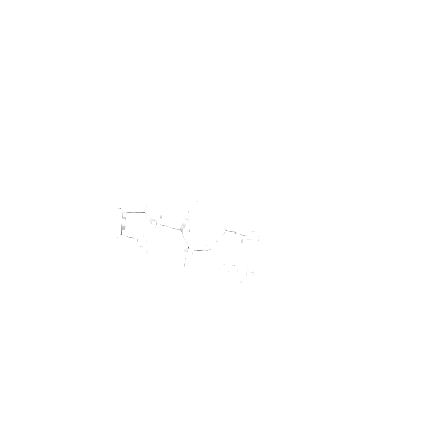 CC(C)C[C@@H](NC(=O)c1ccco1)C(=O)O